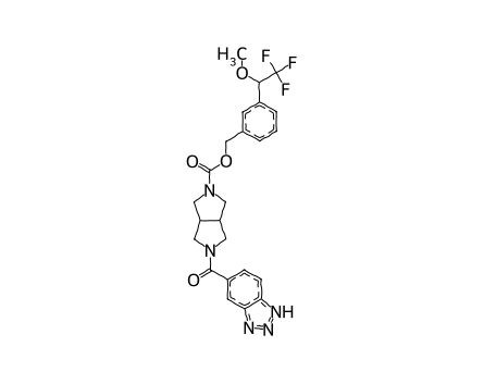 COC(c1cccc(COC(=O)N2CC3CN(C(=O)c4ccc5[nH]nnc5c4)CC3C2)c1)C(F)(F)F